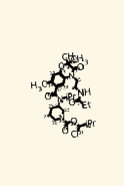 CCC(=O)NCCN1C(=O)C(C)(C)Oc2cc(C)c(C(=O)N(C(C)C)[C@@H]3CCCN(C(=O)OC(Cl)C(C)C)C3)cc21